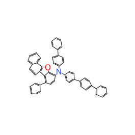 c1ccc(-c2ccc(-c3ccc(N(c4ccc(-c5ccccc5)cc4)c4ccc(-c5ccccc5)c5c4oc4c6ccccc6ccc45)cc3)cc2)cc1